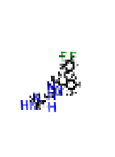 Fc1ccc(C2Cc3cnc(NCCc4c[nH]cn4)nc3-c3ccccc32)cc1F